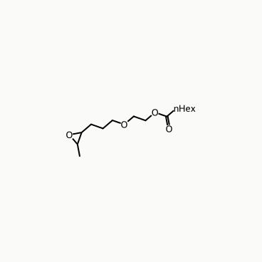 CCCCCCC(=O)OCCOCCCC1OC1C